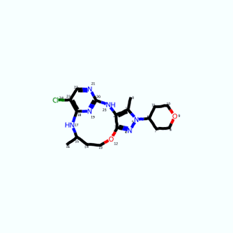 Cc1c2c(nn1C1CCOCC1)OCCC(C)Nc1nc(ncc1Cl)N2